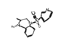 CC(=O)N1c2ccccc2N(S(=O)(=O)c2cccnc2)CC1C